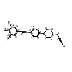 CC#CCC1CCC(c2ccc(C#Cc3cc(F)c(C)c(F)c3)cc2)CC1